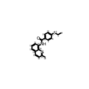 CCSc1ccc(C(=O)Nc2cccc3ccc(C)nc23)cc1